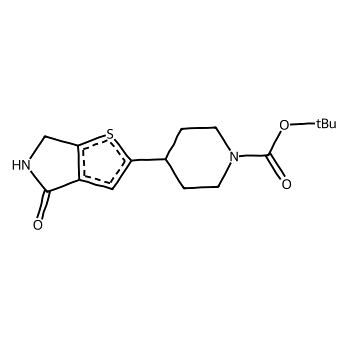 CC(C)(C)OC(=O)N1CCC(c2cc3c(s2)CNC3=O)CC1